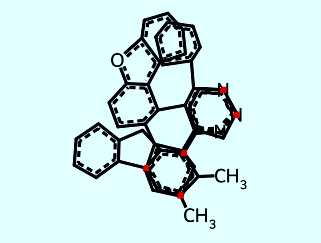 Cc1cc2c(c(-c3nnnc(-c4ccccc4)c3-c3c(-c4ccccc4-c4ccccc4)ccc4oc5ccccc5c34)c1C)Cc1ccccc1-2